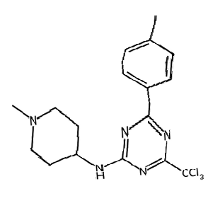 Cc1ccc(-c2nc(NC3CCN(C)CC3)nc(C(Cl)(Cl)Cl)n2)cc1